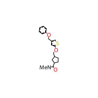 CNC(=O)C1CCC(COc2cc(COc3ccccc3)cs2)C1